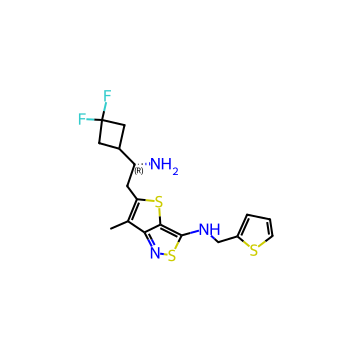 Cc1c(C[C@@H](N)C2CC(F)(F)C2)sc2c(NCc3cccs3)snc12